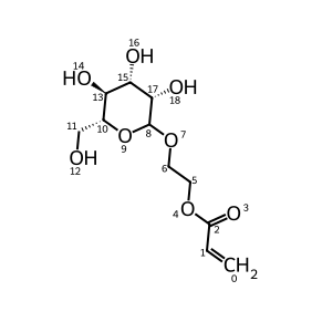 C=CC(=O)OCCOC1O[C@H](CO)[C@@H](O)[C@H](O)[C@@H]1O